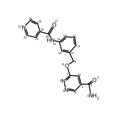 NC(=O)c1cnnc(OCc2cccc(NC(=O)c3ccncc3)c2)c1